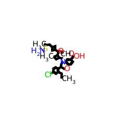 CCCc1cc(Cl)ccc1C1COc2ccc(C(=O)O)cc2N(CC2CC(C)C2C(OC)C2=CC(CC(C)SN)C2)C1